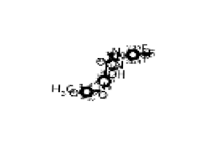 COc1ccc(C(=O)N2CCC(O)(Cn3cnc4c(cnn4-c4ccc(C(F)(F)F)cc4)c3=O)CC2)cc1